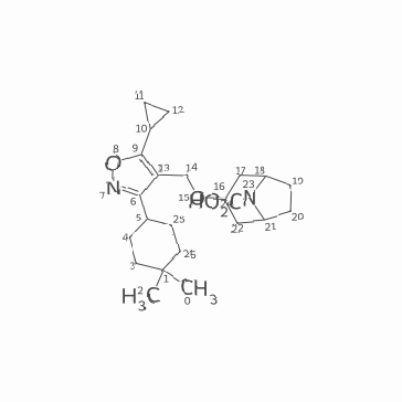 CC1(C)CCC(c2noc(C3CC3)c2COC2CC3CCC(C2)N3C(=O)O)CC1